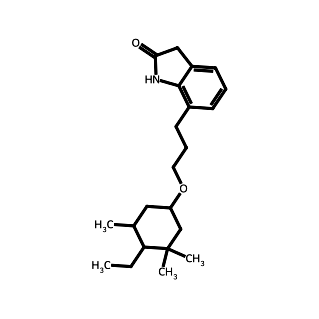 CCC1C(C)CC(OCCCc2cccc3c2NC(=O)C3)CC1(C)C